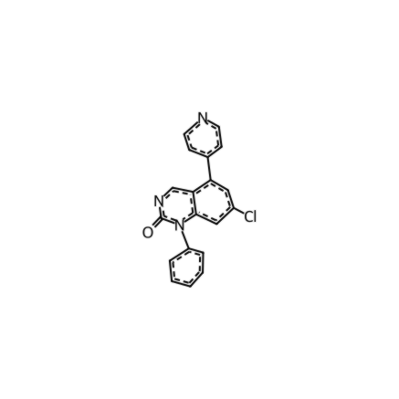 O=c1ncc2c(-c3ccncc3)cc(Cl)cc2n1-c1ccccc1